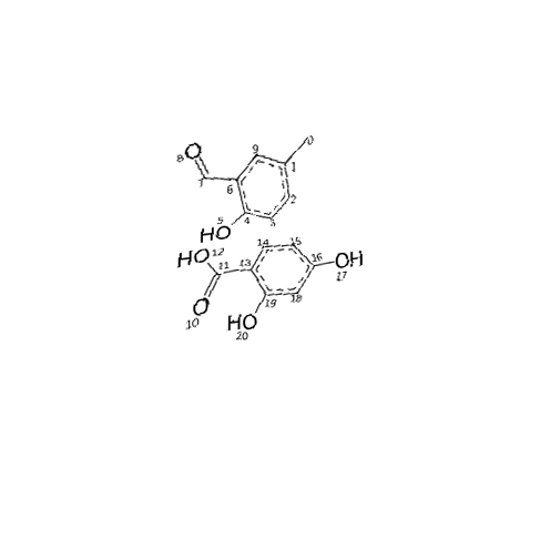 Cc1ccc(O)c(C=O)c1.O=C(O)c1ccc(O)cc1O